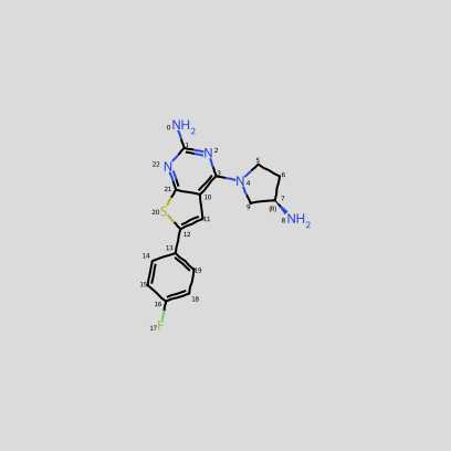 Nc1nc(N2CC[C@@H](N)C2)c2cc(-c3ccc(F)cc3)sc2n1